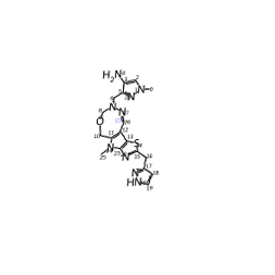 Cn1cc(N)c(CN2COCc3c(c4sc(Cc5cc[nH]n5)nc4n3C)/C=N\2)n1